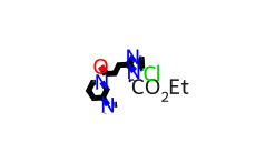 CCOC(=O)Cn1c(Cl)cnc1CCC(=O)N1CCCC(N(C)C)C1